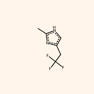 Cc1nc(CC(F)(F)F)c[nH]1